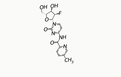 Cc1ccc(C(=O)Nc2ccn([C@@H]3O[C@H](CO)[C@@H](O)[C@H]3F)c(=O)n2)nc1